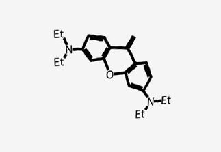 C=C1c2ccc(N(CC)CC)cc2Oc2cc(N(CC)CC)ccc21